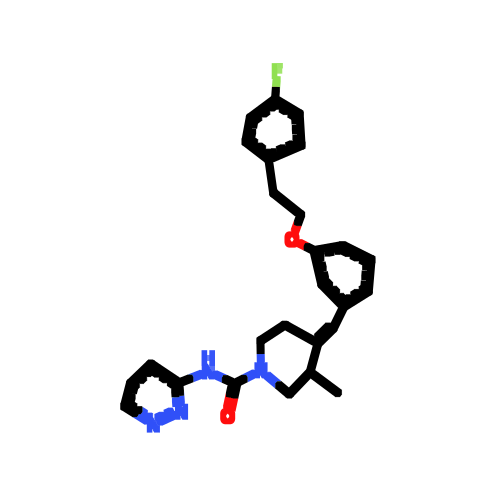 CC1CN(C(=O)Nc2cccnn2)CCC1=Cc1cccc(OCCc2ccc(F)cc2)c1